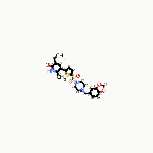 CCc1cc(-c2ccc(S(=O)(=O)N3CCN(Cc4ccc5c(c4)OCO5)CC3)s2)c(C)[nH]c1=O